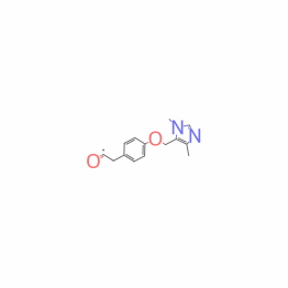 Cc1ncn(C)c1COc1ccc(C[C]=O)cc1